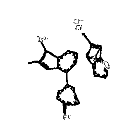 CC1=C2c3occc3C1[Si]2(C)C.CCc1ccc(-c2cccc3c2C=C(C)[CH]3[Zr+2])cc1.[Cl-].[Cl-]